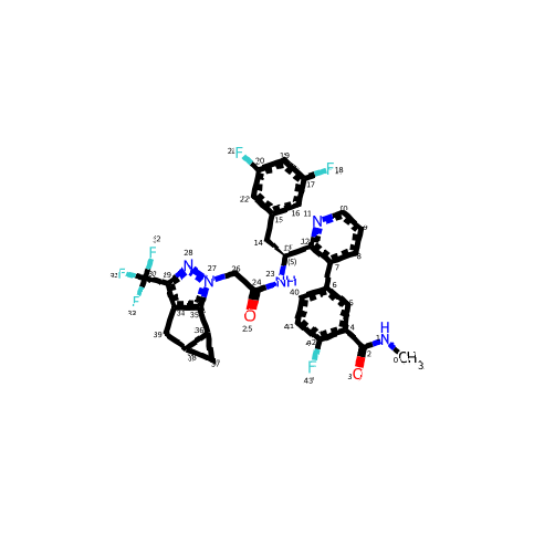 CNC(=O)c1cc(-c2cccnc2[C@H](Cc2cc(F)cc(F)c2)NC(=O)Cn2nc(C(F)(F)F)c3c2C2CC2C3)ccc1F